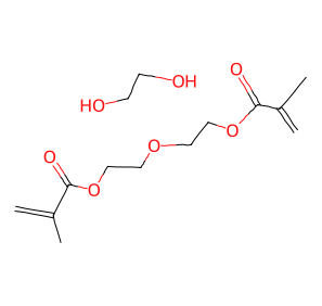 C=C(C)C(=O)OCCOCCOC(=O)C(=C)C.OCCO